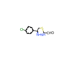 O=CC1NN=C(c2ccc(Cl)cc2)CS1